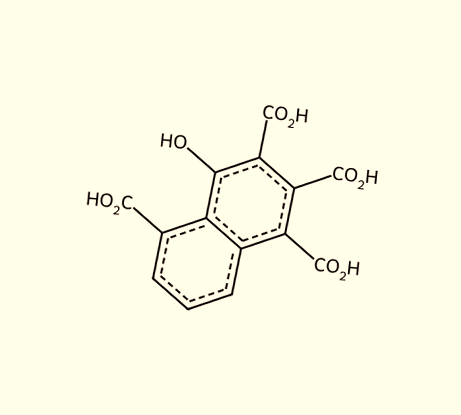 O=C(O)c1c(C(=O)O)c(O)c2c(C(=O)O)cccc2c1C(=O)O